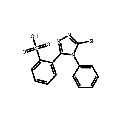 O=S(=O)(O)c1ccccc1-c1nnc(S)n1-c1ccccc1